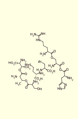 CC(C)C[C@H](N)C(=O)O.CSCC[C@H](N)C(=O)O.C[C@@H](OC(=O)[C@@H](N)[C@@H](C)OC(=O)[C@@H](N)CO)[C@H](N)C(=O)O.N=C(N)NCCC[C@H](N)C(=O)OC[C@H](N)C(=O)OC(=O)[C@@H](N)Cc1c[nH]cn1